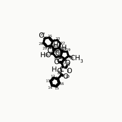 CC(=O)O[C@]1(C(=O)COC(=O)c2ccccc2)C(C)C[C@H]2[C@@H]3CCC4=CC(=O)C=C[C@]4(C)[C@@]3(Cl)C(O)C[C@@]21C